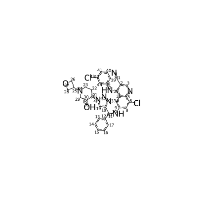 N#Cc1cnc2c(Cl)cc(N[C@@H](c3ccccc3)c3cn([C@H]4CCN(C5COC5)C[C@H]4O)nn3)cc2c1Nc1cccc(Cl)c1